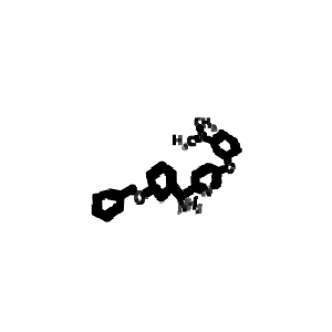 CN(C)c1cccc(Oc2ccc(C(N)c3cccc(OCc4ccccc4)c3)nc2)c1